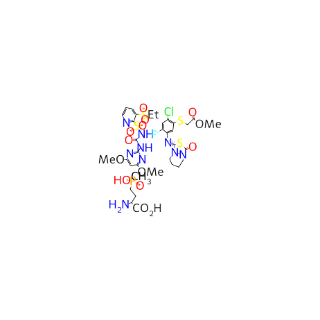 CCS(=O)(=O)c1cccnc1S(=O)(=O)NC(=O)Nc1nc(OC)cc(OC)n1.COC(=O)CSc1cc(/N=c2\sc(=O)n3n2CCCC3)c(F)cc1Cl.CP(=O)(O)CCC(N)C(=O)O